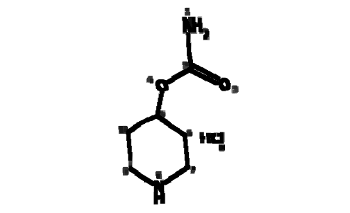 Cl.NC(=O)OC1CCNCC1